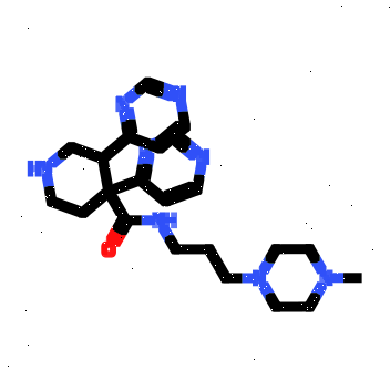 CN1CCN(CCCNC(=O)C2(c3ccncn3)CCNCC2c2ccncn2)CC1